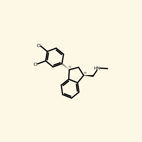 CNC[C@@H]1C[C@@H](c2ccc(Cl)c(Cl)c2)c2ccccc21